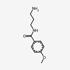 COc1ccc(C(=O)NCCCN)cc1